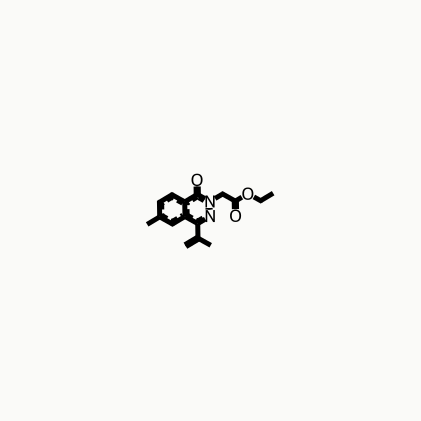 C=C(C)c1nn(CC(=O)OCC)c(=O)c2ccc(C)cc12